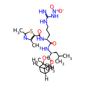 Cc1nc(C)c(C(=O)N[C@@H](CCCNC(=N)N[N+](=O)[O-])C(=O)N[C@@H](CC(C)C)B2O[C@@H]3C[C@@H]4C[C@@H](C4(C)C)C3(C)O2)s1